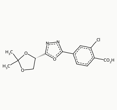 CC1(C)OC[C@@H](c2nnc(-c3ccc(C(=O)O)c(Cl)c3)o2)O1